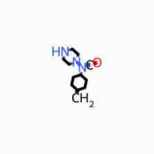 C=C1CCC([N+](=C=O)N2CCNCC2)CC1